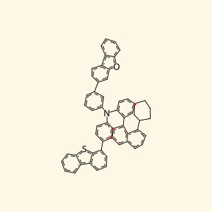 c1cc(-c2ccc3c(c2)oc2ccccc23)cc(N(c2ccc(-c3cccc4c3sc3ccccc34)cc2)c2ccccc2-c2cccc3cccc(C4CCCCC4)c23)c1